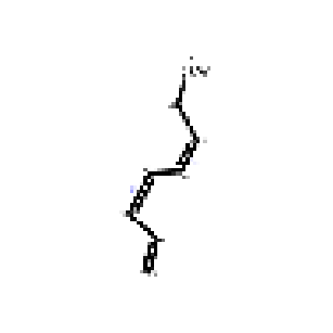 C=C/C=C\C=C/COC(C)=O